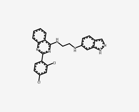 Clc1ccc(-c2nc(NCCNc3ccc4cn[nH]c4c3)c3ccccc3n2)c(Cl)c1